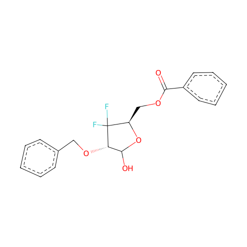 O=C(OC[C@H]1OC(O)[C@H](OCc2ccccc2)C1(F)F)c1ccccc1